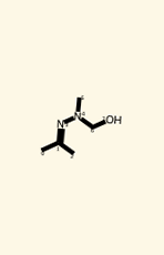 CC(C)=NN(C)CO